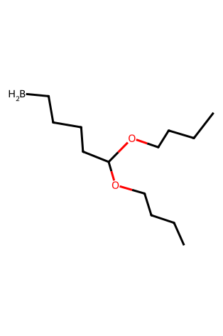 BCCCCC(OCCCC)OCCCC